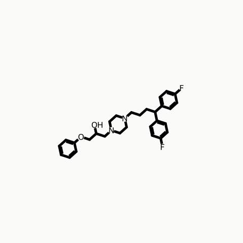 OC(COc1ccccc1)CN1CCN(CCCC(c2ccc(F)cc2)c2ccc(F)cc2)CC1